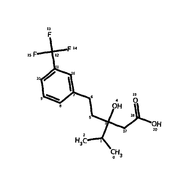 CC(C)C(O)(CCc1cccc(C(F)(F)F)c1)CC(=O)O